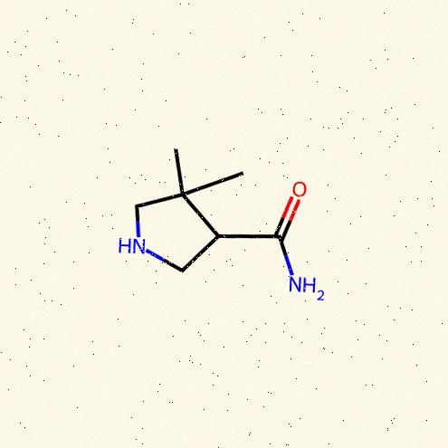 CC1(C)CNCC1C(N)=O